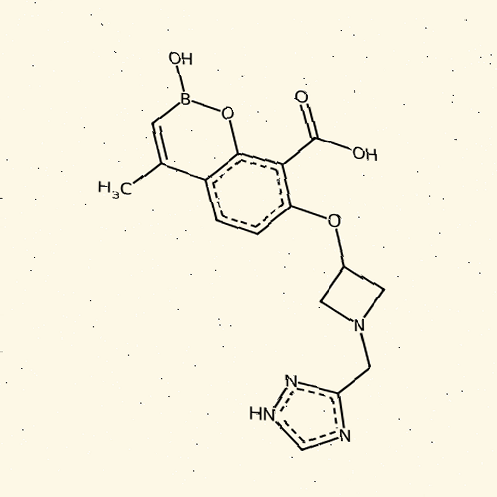 CC1=CB(O)Oc2c1ccc(OC1CN(Cc3nc[nH]n3)C1)c2C(=O)O